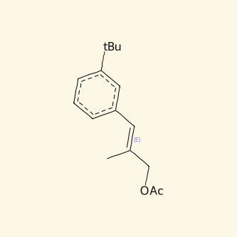 CC(=O)OC/C(C)=C/c1cccc(C(C)(C)C)c1